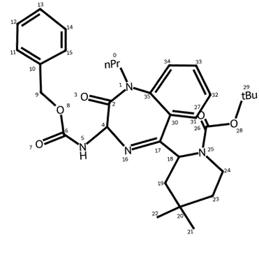 CCCN1C(=O)C(NC(=O)OCc2ccccc2)N=C(C2CC(C)(C)CCN2C(=O)OC(C)(C)C)c2ccccc21